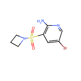 Nc1ncc(Br)cc1S(=O)(=O)N1CCC1